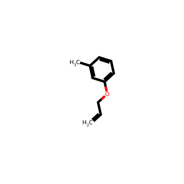 C=CCOc1[c]c(C)ccc1